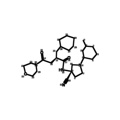 CC1CCCC(N2CC[C@](C#N)(NC(=O)[C@@H](CC(=O)N3CCOCC3)CC3CCCCC3)C2)C1